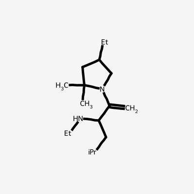 C=C(C(CC(C)C)NCC)N1CC(CC)CC1(C)C